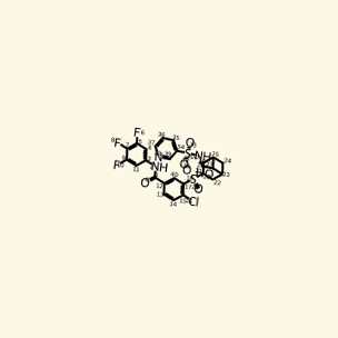 O=C(Nc1cc(F)c(F)c(F)c1)c1ccc(Cl)c(S(=O)(=O)C2CC3CC(C2)C3(O)CNS(=O)(=O)c2cccnc2)c1